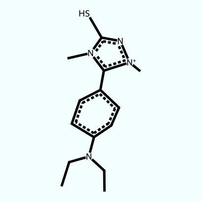 CCN(CC)c1ccc(-c2n(C)c(S)n[n+]2C)cc1